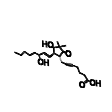 CCCCCC(O)C=C[C@@H]1[C@@H](CC#CCCCC(=O)O)C(=O)C(C)(C)[C@H]1O